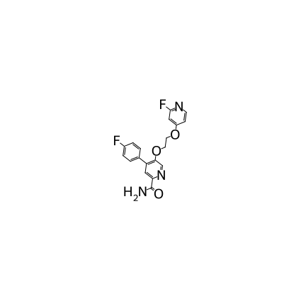 NC(=O)c1cc(-c2ccc(F)cc2)c(OCCOc2ccnc(F)c2)cn1